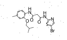 Cc1ccc(NC(=O)CC(=O)Nc2ncc(Br)s2)c(OCC(C)C)c1